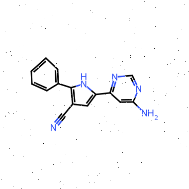 N#Cc1cc(-c2cc(N)ncn2)[nH]c1-c1ccccc1